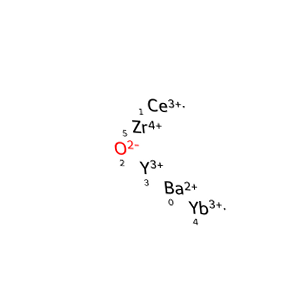 [Ba+2].[Ce+3].[O-2].[Y+3].[Yb+3].[Zr+4]